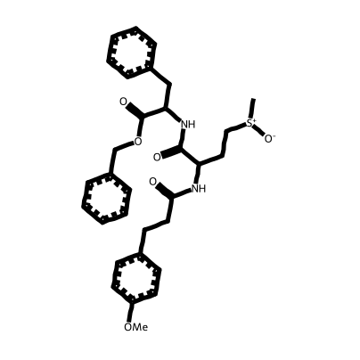 COc1ccc(CCC(=O)NC(CC[S+](C)[O-])C(=O)NC(Cc2ccccc2)C(=O)OCc2ccccc2)cc1